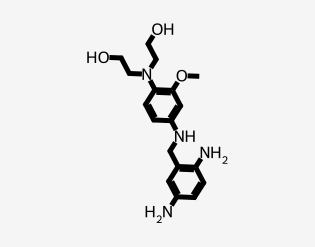 COc1cc(NCc2cc(N)ccc2N)ccc1N(CCO)CCO